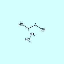 Cl.N.OCCO